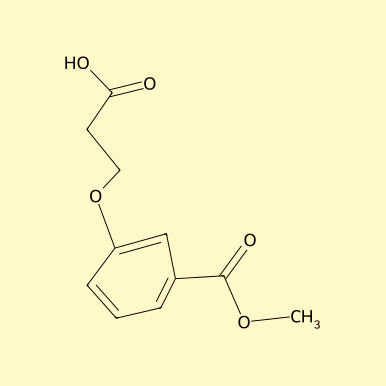 COC(=O)c1cccc(OCCC(=O)O)c1